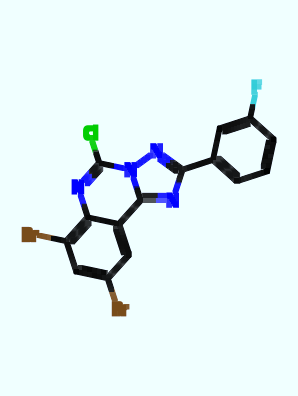 Fc1cccc(-c2nc3c4cc(Br)cc(Br)c4nc(Cl)n3n2)c1